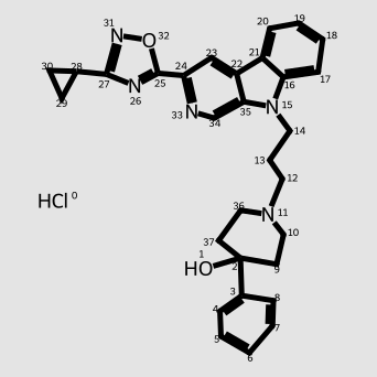 Cl.OC1(c2ccccc2)CCN(CCCn2c3ccccc3c3cc(-c4nc(C5CC5)no4)ncc32)CC1